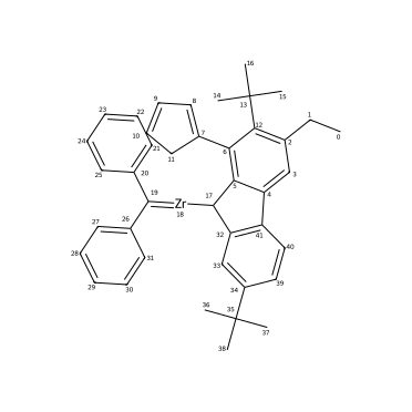 CCc1cc2c(c(C3=CC=CC3)c1C(C)(C)C)[CH]([Zr]=[C](c1ccccc1)c1ccccc1)c1cc(C(C)(C)C)ccc1-2